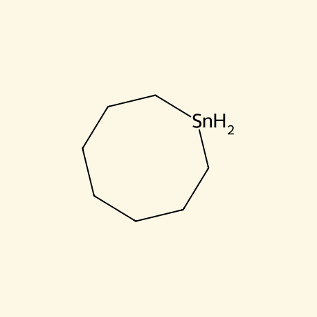 C1CC[CH2][SnH2][CH2]CC1